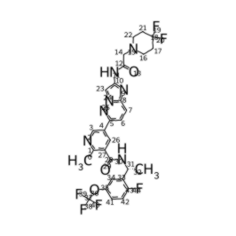 Cc1ncc(-c2ccc3nc(NC(=O)CN4CCC(F)(F)CC4)cn3n2)cc1C(=O)N[C@H](C)c1cc(OC(F)(F)F)ccc1F